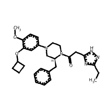 CCc1n[nH]c(CC(=O)N2CCN(c3ccc(OC)c(OC4CCC4)c3)C[C@@H]2Cc2ccccc2)n1